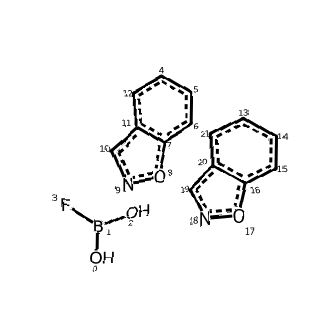 OB(O)F.c1ccc2oncc2c1.c1ccc2oncc2c1